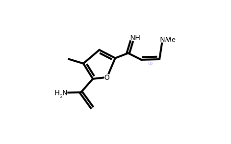 C=C(N)c1oc(C(=N)/C=C\NC)cc1C